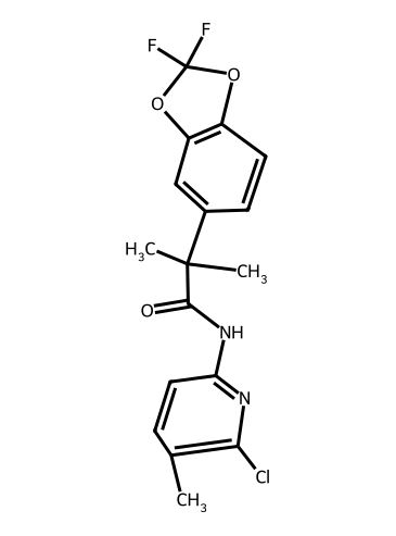 Cc1ccc(NC(=O)C(C)(C)c2ccc3c(c2)OC(F)(F)O3)nc1Cl